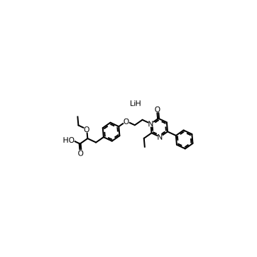 CCOC(Cc1ccc(OCCn2c(CC)nc(-c3ccccc3)cc2=O)cc1)C(=O)O.[LiH]